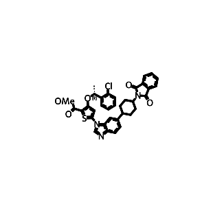 COC(=O)c1sc(-n2cnc3ccc(C4CCC(N5C(=O)c6ccccc6C5=O)CC4)cc32)cc1O[C@H](C)c1ccccc1Cl